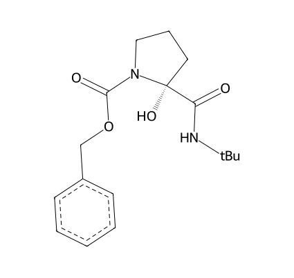 CC(C)(C)NC(=O)[C@]1(O)CCCN1C(=O)OCc1ccccc1